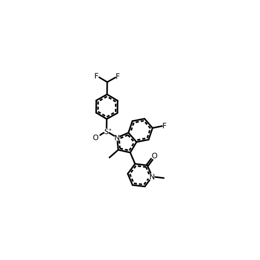 Cc1c(-c2cccn(C)c2=O)c2cc(F)ccc2n1[S+]([O-])c1ccc(C(F)F)cc1